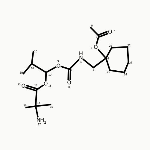 CC(=O)OC1(CNC(=O)OC(OC(=O)C(C)(C)N)C(C)C)CCCCC1